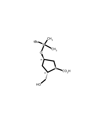 CC(C)(C)[Si](C)(C)O[C@@H]1C[C@@H](CO)N(C(=O)O)C1